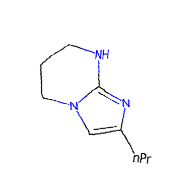 CCCc1cn2c(n1)NCCC2